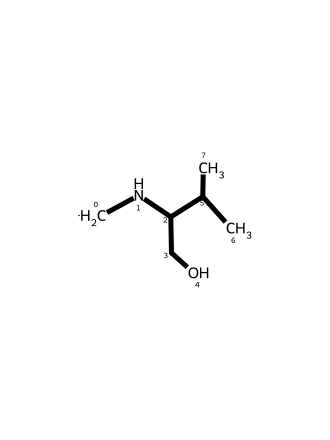 [CH2]NC(CO)C(C)C